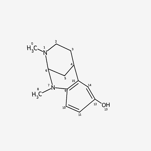 CN1CCC2CC1N(C)c1ccc(O)cc12